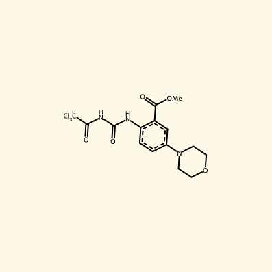 COC(=O)c1cc(N2CCOCC2)ccc1NC(=O)NC(=O)C(Cl)(Cl)Cl